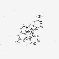 CC(C)(C)C1CC(O)(CN2CCc3cc(Cl)cc([C@@H]4COCCN4C(=O)O)c3C2)CCO1